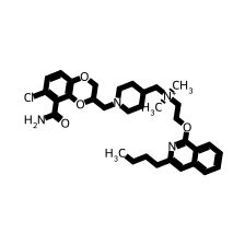 CCCCc1cc2ccccc2c(OCC[N+](C)(C)CC2CCN(CC3COc4ccc(Cl)c(C(N)=O)c4O3)CC2)n1